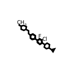 CCC1CCC(CCc2ccc(-c3ccc(C4CCC(C5CC5)CC4)c(Cl)c3F)cc2)CC1